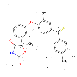 CCCc1cc(C(=S)c2ccc(C)cc2)ccc1Oc1cccc([C@@]2(C)OC(=O)NC2=O)c1